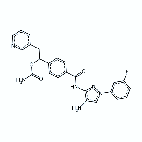 NC(=O)OC(Cc1cccnc1)c1ccc(C(=O)Nc2nn(-c3cccc(F)c3)cc2N)cc1